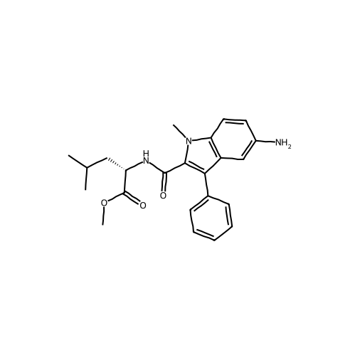 COC(=O)[C@H](CC(C)C)NC(=O)c1c(-c2ccccc2)c2cc(N)ccc2n1C